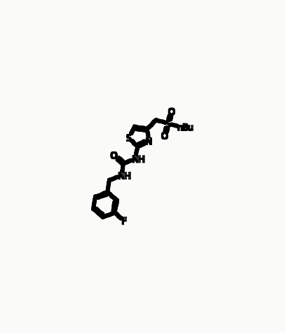 CCCCS(=O)(=O)Cc1csc(NC(=O)NCc2cccc(F)c2)n1